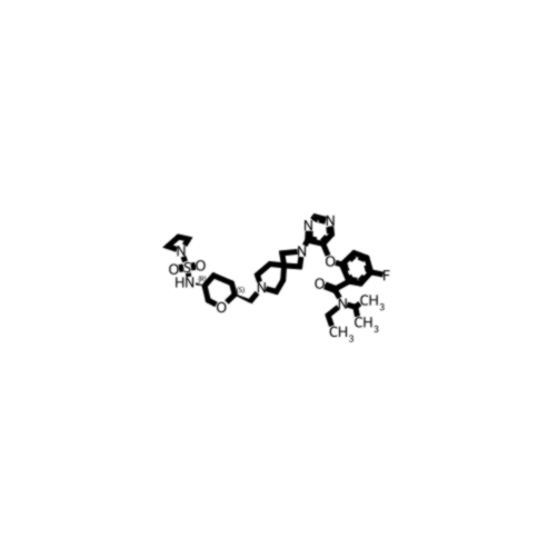 CCN(C(=O)c1cc(F)ccc1Oc1cncnc1N1CC2(CCN(C[C@@H]3CC[C@@H](NS(=O)(=O)N4CCC4)CO3)CC2)C1)C(C)C